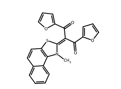 CN1C(=C(C(=O)c2ccco2)C(=O)c2ccco2)Sc2ccc3ccccc3c21